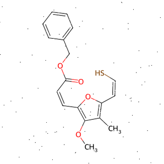 COc1c(/C=C\C(=O)OCc2ccccc2)oc(/C=C\S)c1C